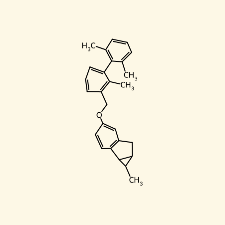 Cc1cccc(C)c1-c1cccc(COc2ccc3c(c2)CC2C(C)C32)c1C